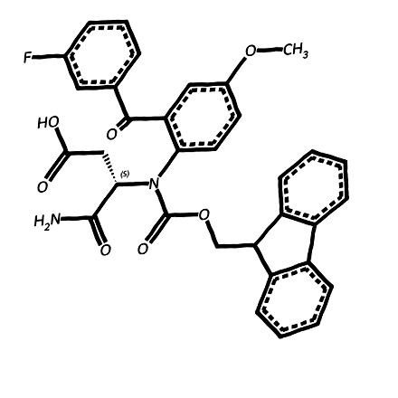 COc1ccc(N(C(=O)OCC2c3ccccc3-c3ccccc32)[C@@H](CC(=O)O)C(N)=O)c(C(=O)c2cccc(F)c2)c1